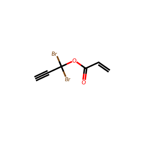 C#CC(Br)(Br)OC(=O)C=C